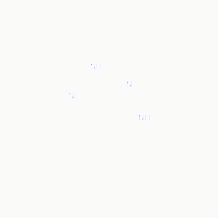 CC1C/C=C/N=C(/N)c2nc[nH]c21